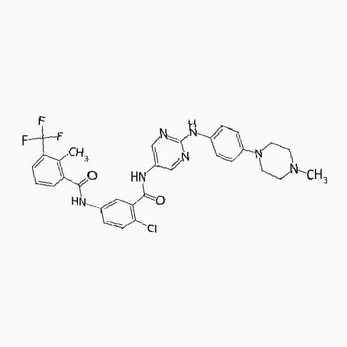 Cc1c(C(=O)Nc2ccc(Cl)c(C(=O)Nc3cnc(Nc4ccc(N5CCN(C)CC5)cc4)nc3)c2)cccc1C(F)(F)F